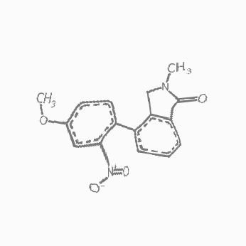 COc1ccc(-c2cccc3c2CN(C)C3=O)c([N+](=O)[O-])c1